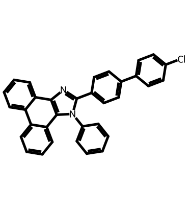 Clc1ccc(-c2ccc(-c3nc4c5ccccc5c5ccccc5c4n3-c3ccccc3)cc2)cc1